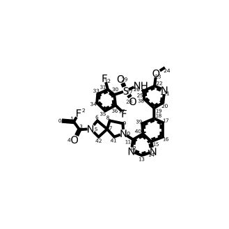 C=C(F)C(=O)N1CC2(CCN(c3ncnc4ccc(-c5cnc(OC)c(NS(=O)(=O)c6c(F)cccc6F)c5)cc34)C2)C1